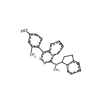 Cc1cc(O)ccc1-c1nnc(N(C)C2CCc3ccccc32)c2ccccc12